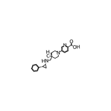 CC1(CN[C@@H]2C[C@H]2c2ccccc2)CCN(c2ccc(C(=O)O)nc2)CC1